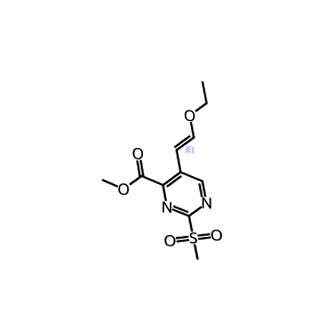 CCO/C=C/c1cnc(S(C)(=O)=O)nc1C(=O)OC